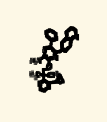 CC(C)(COc1nc(-c2ccc3ncccc3c2)c(-c2ccccc2)nc1N)c1ncccc1C1CC1